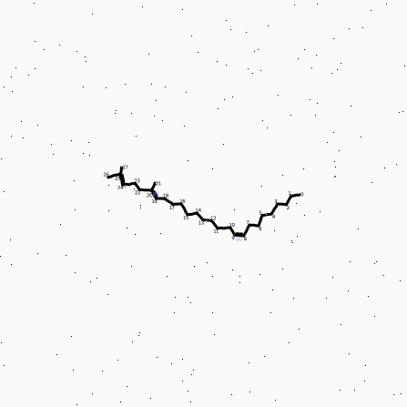 CCCCCCCC/C=C\CCCCCCC[CH]C/C=C(\C)CCC=C(C)C